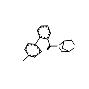 O=C(c1ccccc1-c1ccc(Cl)cc1)N1CC2CC1CN2